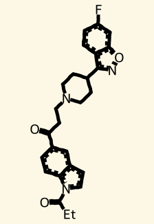 CCC(=O)n1ccc2cc(C(=O)CCN3CCC(c4noc5cc(F)ccc45)CC3)ccc21